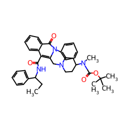 CCC(NC(=O)c1c(CN2CCC(N(C)C(=O)OC(C)(C)C)CC2)n(-c2ccccc2)c(=O)c2ccccc12)c1ccccc1